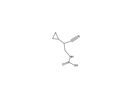 N#CC(CNC(=O)O)C1CC1